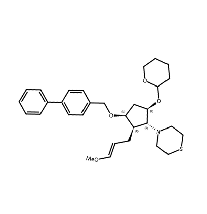 COC=CC[C@@H]1[C@@H](N2CCSCC2)[C@H](OC2CCCCO2)C[C@@H]1OCc1ccc(-c2ccccc2)cc1